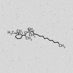 CCCCCCCCCCCC[Si](C)(C)OC(C)C1CCC[Si](C)(C)O1